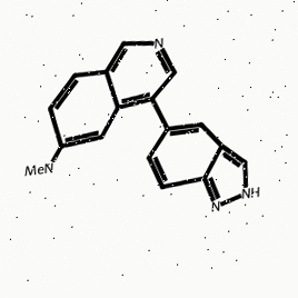 CNc1ccc2cncc(-c3ccc4n[nH]cc4c3)c2c1